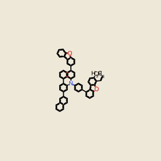 C/C=C\c1c(C)ccc2c1oc1cccc(-c3ccc(N(c4ccc(-c5ccc6oc7ccccc7c6c5)cc4)c4cc(-c5ccc6ccccc6c5)ccc4-c4ccccc4)cc3)c12